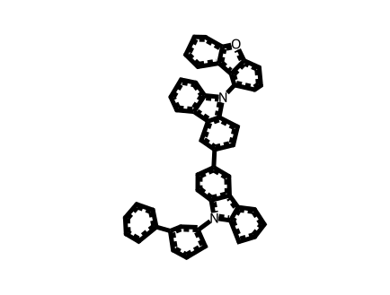 c1ccc(-c2cccc(-n3c4ccccc4c4cc(-c5ccc6c(c5)c5ccccc5n6-c5cccc6oc7ccccc7c56)ccc43)c2)cc1